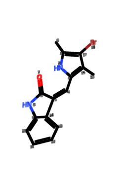 Cc1[nH]c(C=C2C(=O)Nc3ccccc32)c(C)c1Br